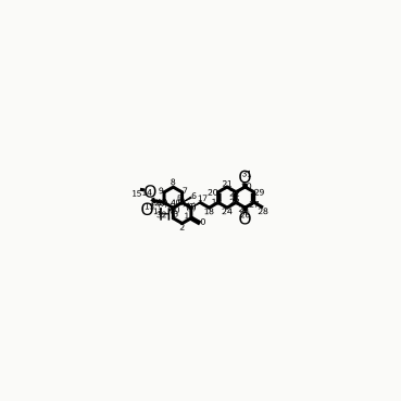 C=C1CC[C@@H]2[C@](C)(CCC[C@]2(C)C(=O)OC)[C@H]1CCC1=CCC2=C(C1)C(=O)C(C)=CC2=O